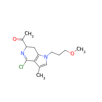 COCCCn1cc(C)c2c1CC(C(C)=O)N=C2Cl